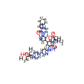 CC(=O)OCc1c(-c2cc(Nc3ccc(N4CCN(CC(C)(C)O)CC4)cn3)c(=O)n(C)c2)ccnc1N1CCn2c(cc3c2CCCC3)C1=O